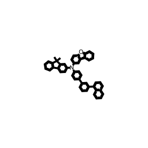 CC1(C)c2ccccc2-c2ccc(N(c3ccc(-c4cccc(-c5cccc6ccccc56)c4)cc3)c3ccc4oc5ccccc5c4c3)cc21